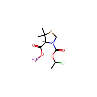 CC(Cl)OC(=O)N1CSC(C)(C)[C@@H]1C(=O)OP